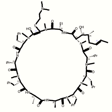 C/C=C/C[C@@H](C)[C@@H](O)[C@H]1C(=O)N[C@@H](CC)C(=O)N(C)/C(SCCN(C)C)=C(/O)N(C)[C@@H](CC(C)C)C(=O)N[C@@H](C(C)C)C(=O)N(C)[C@@H](CC(C)C)C(=O)N[C@@H](C)C(=O)N[C@H](C)C(=O)N(C)[C@@H](CC(C)C)C(=O)N(C)[C@@H](CC(C)C)C(=O)N(C)[C@@H](C(C)C)C(=O)N1C